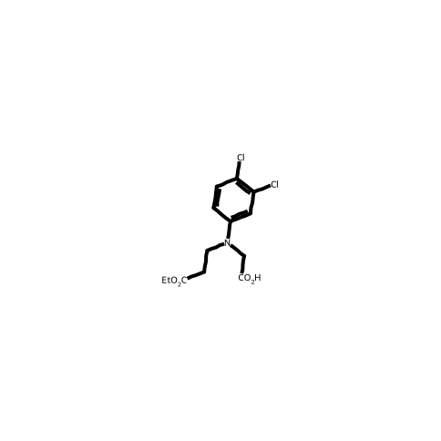 CCOC(=O)CCN(CC(=O)O)c1ccc(Cl)c(Cl)c1